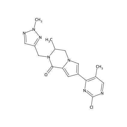 Cc1cnc(Cl)nc1-c1cc2n(c1)CC(C)N(Cc1cnn(C)n1)C2=O